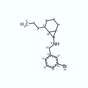 CCCC1CCCC2C(NCc3cccc(Br)c3)C12